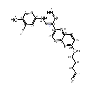 N=N/C(=C\Nc1ccc(O)c(F)c1)c1ccc2cc(OCCCC=O)ccc2n1